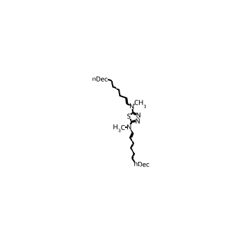 CCCCCCCCCCCCCCC=CN(C)c1nnc(N(C)C=CCCCCCCCCCCCCCC)s1